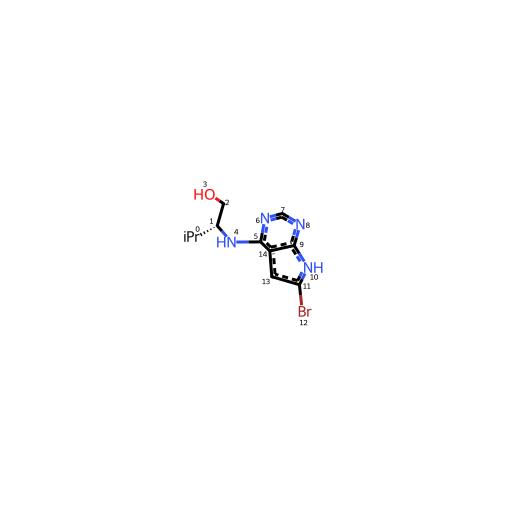 CC(C)[C@H](CO)Nc1ncnc2[nH]c(Br)cc12